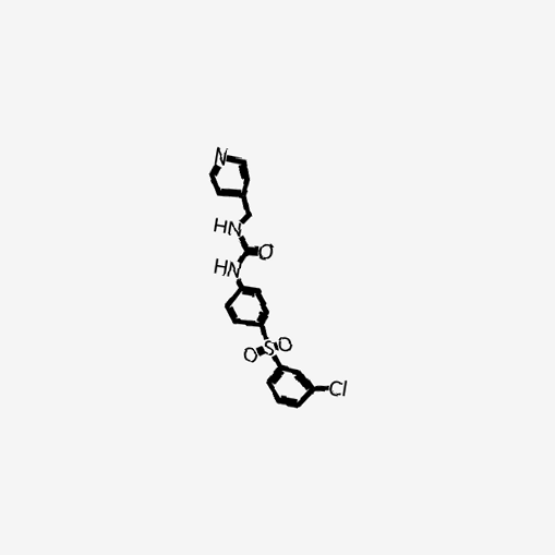 O=C(NCc1ccncc1)Nc1ccc(S(=O)(=O)c2cccc(Cl)c2)cc1